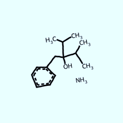 CC(C)C(O)(Cc1ccccc1)C(C)C.N